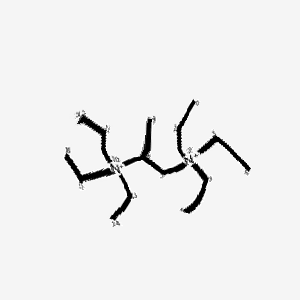 CC[N+](CC)(CC)CC(C)[N+](CC)(CC)CC